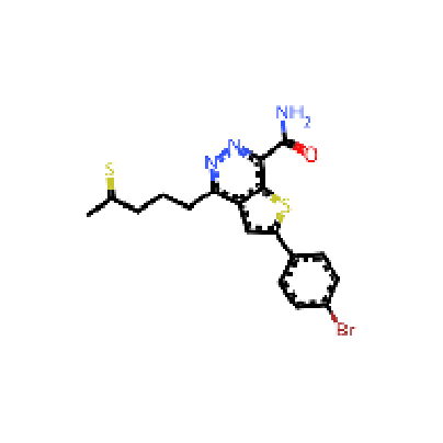 CC(=S)CCCc1nnc(C(N)=O)c2sc(-c3ccc(Br)cc3)cc12